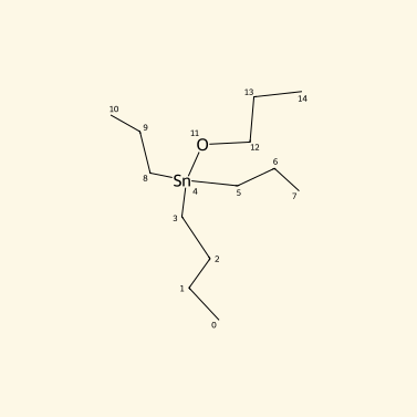 CCC[CH2][Sn]([CH2]CC)([CH2]CC)[O]CCC